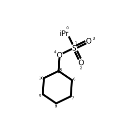 CC(C)S(=O)(=O)O[C]1CCCCC1